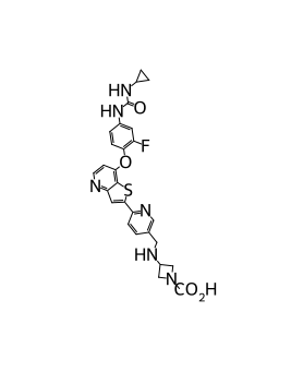 O=C(Nc1ccc(Oc2ccnc3cc(-c4ccc(CNC5CN(C(=O)O)C5)cn4)sc23)c(F)c1)NC1CC1